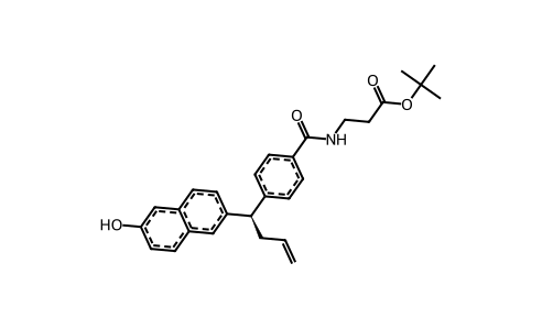 C=CC[C@H](c1ccc(C(=O)NCCC(=O)OC(C)(C)C)cc1)c1ccc2cc(O)ccc2c1